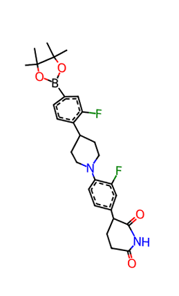 CC1(C)OB(c2ccc(C3CCN(c4ccc(C5CCC(=O)NC5=O)cc4F)CC3)c(F)c2)OC1(C)C